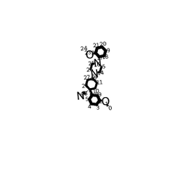 COc1cccc([C@]2(C#N)CC[C@@H](N3CCN(c4ccccc4OC)CC3)CC2)c1